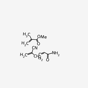 C=C(C)C#N.C=C(C)C(=O)OC.C=CC(N)=O